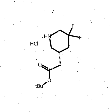 CC(C)(C)OC(=O)C[C@@H]1CNCC(F)(F)C1.Cl